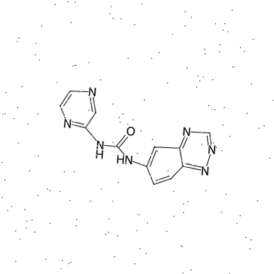 O=C(Nc1ccc2nncnc2c1)Nc1cnccn1